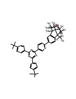 [2H]C([2H])([2H])C1([2H])c2cc(-c3ccc(-c4nc(-c5ccc(C(C)(C)C)cc5)nc(-c5ccc(C(C)(C)C)cc5)n4)cn3)ccc2C(C([2H])([2H])[2H])(C([2H])([2H])[2H])C1(C([2H])([2H])[2H])C([2H])([2H])[2H]